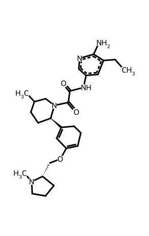 CCc1cc(NC(=O)C(=O)N2CC(C)CC[C@@H]2C2=CC(OC[C@@H]3CCCN3C)=CCC2)cnc1N